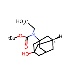 CC(C)(C)OC(=O)N(CC(=O)O)C12CC3C[C@H](CC(O)(C3)C1)C2